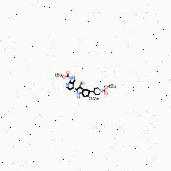 COc1cc2[nH]c(-c3ccnc4c3cnn4C(=O)OC(C)(C)C)c(C(C)C)c2cc1C1CCN(C(=O)OC(C)(C)C)CC1